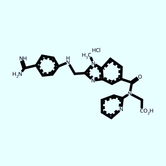 Cl.Cn1c(CNc2ccc(C(=N)N)cc2)nc2cc(C(=O)N(CC(=O)O)c3ccccn3)ccc21